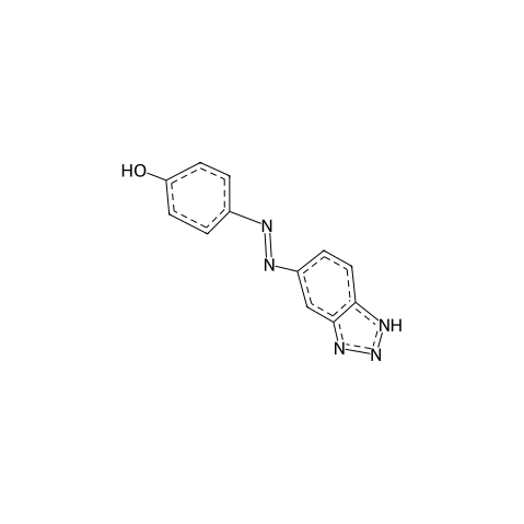 Oc1ccc(N=Nc2ccc3[nH]nnc3c2)cc1